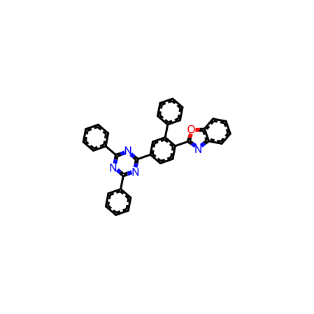 c1ccc(-c2nc(-c3ccccc3)nc(-c3ccc(-c4nc5ccccc5o4)c(-c4ccccc4)c3)n2)cc1